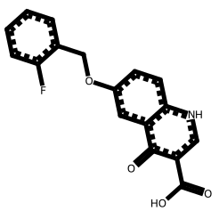 O=C(O)c1c[nH]c2ccc(OCc3ccccc3F)cc2c1=O